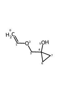 C=COCC1(O)CC1